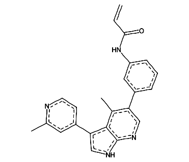 C=CC(=O)Nc1cccc(-c2cnc3[nH]cc(-c4ccnc(C)c4)c3c2C)c1